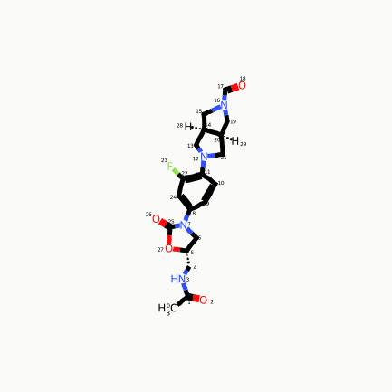 CC(=O)NC[C@H]1CN(c2ccc(N3C[C@H]4CN(C=O)C[C@H]4C3)c(F)c2)C(=O)O1